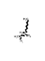 C=CCCCCCC[Si](C)(C)CC[SiH](C)C